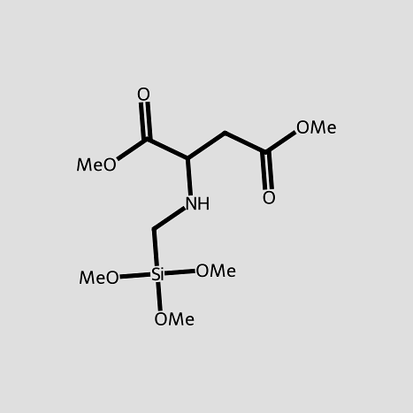 COC(=O)CC(NC[Si](OC)(OC)OC)C(=O)OC